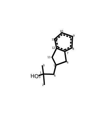 CC(C)(O)CC1Cc2ccccc2C1